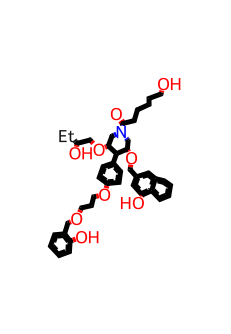 CCC(O)COC1CN(C(=O)CCCCCO)CC(OCc2cc(O)c3ccccc3c2)C1c1ccc(OCCCOCc2ccccc2O)cc1